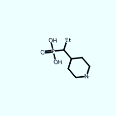 CCC(C1CC[N]CC1)P(=O)(O)O